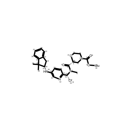 CN(C(=O)[C@H]1CN(C(=O)OC(C)(C)C)CCO1)[C@@H](c1ccc(N[C@H]2Cc3ccccc3C2(C)C)cn1)C(F)(F)F